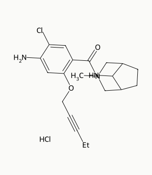 CCC#CCOc1cc(N)c(Cl)cc1C(=O)NC1C2CCC1CN(C)C2.Cl